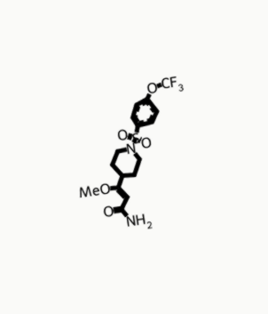 COC(=CC(N)=O)C1CCN(S(=O)(=O)c2ccc(OC(F)(F)F)cc2)CC1